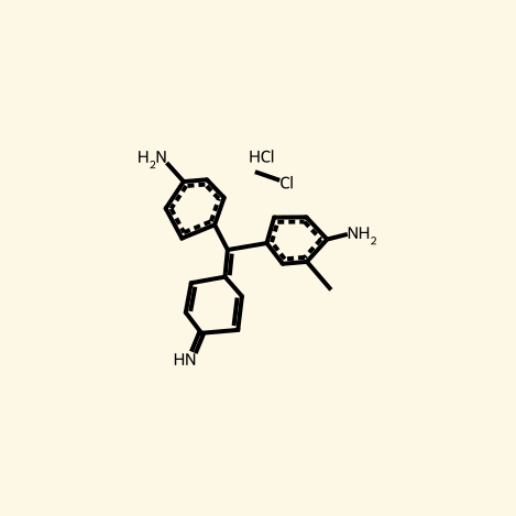 CCl.Cc1cc(C(=C2C=CC(=N)C=C2)c2ccc(N)cc2)ccc1N.Cl